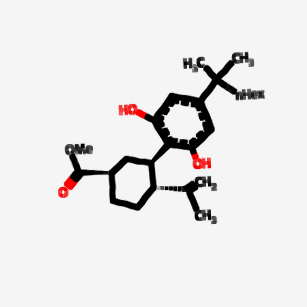 C=C(C)[C@@H]1CC[C@@H](C(=O)OC)C[C@H]1c1c(O)cc(C(C)(C)CCCCCC)cc1O